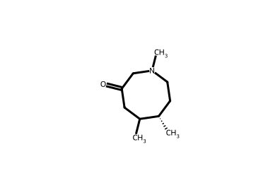 CC1CC(=O)CN(C)CC[C@@H]1C